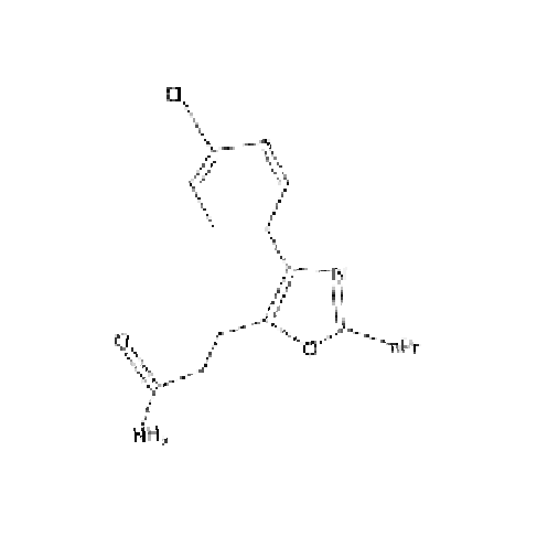 CCCc1nc(-c2ccc(Cl)cc2)c(CCC(N)=O)o1